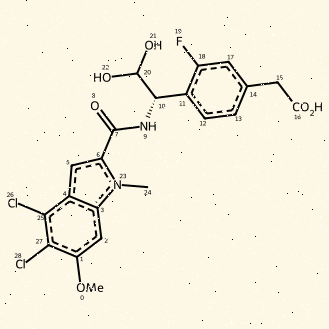 COc1cc2c(cc(C(=O)N[C@@H](c3ccc(CC(=O)O)cc3F)C(O)O)n2C)c(Cl)c1Cl